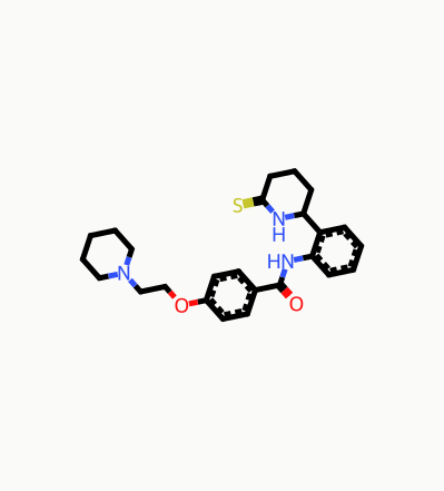 O=C(Nc1ccccc1C1CCCC(=S)N1)c1ccc(OCCN2CCCCC2)cc1